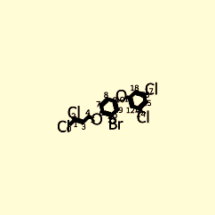 ClC(Cl)=CCOc1ccc(Oc2cc(Cl)cc(Cl)c2)cc1Br